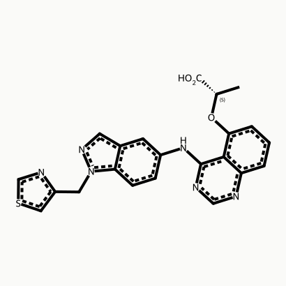 C[C@H](Oc1cccc2ncnc(Nc3ccc4c(cnn4Cc4cscn4)c3)c12)C(=O)O